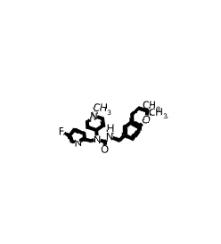 CN1CCC(N(Cc2ccc(F)cn2)C(=O)NCc2ccc3c(c2)CCC(C)(C)O3)CC1